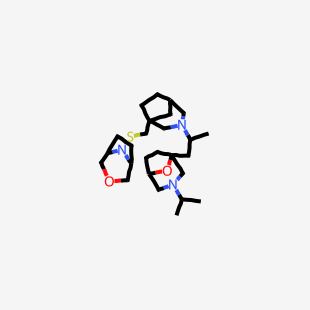 CC(C)N1CC2CCC(CC(C)N3CC4CCC(CSN5C6CCC5COC6)(C4)C3)(C1)O2